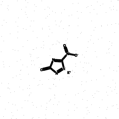 O=C1N=NC([N+](=O)[O-])=N1.[K+]